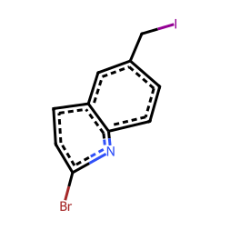 Brc1ccc2cc(CI)ccc2n1